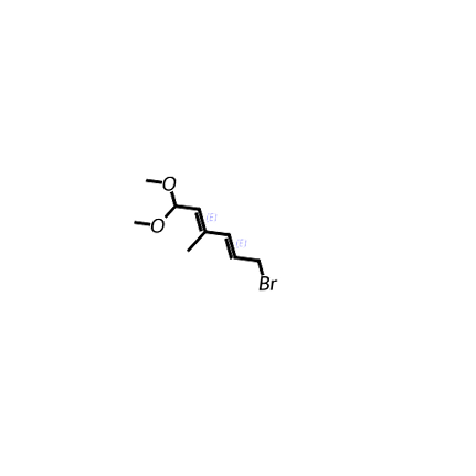 COC(/C=C(C)/C=C/CBr)OC